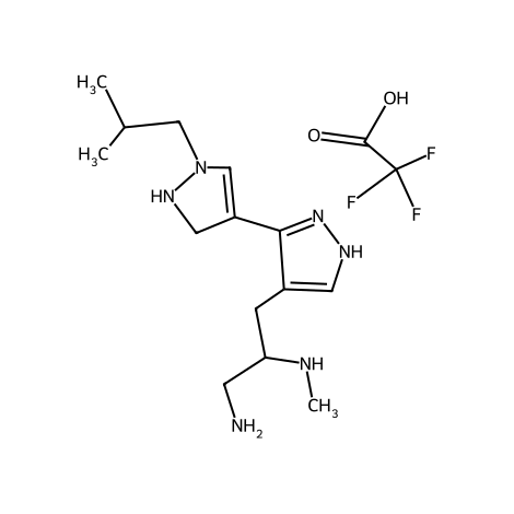 CNC(CN)Cc1c[nH]nc1C1=CN(CC(C)C)NC1.O=C(O)C(F)(F)F